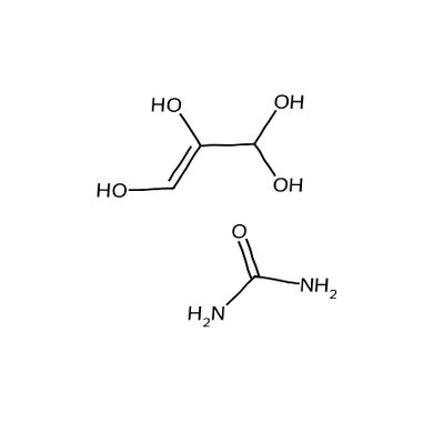 NC(N)=O.OC=C(O)C(O)O